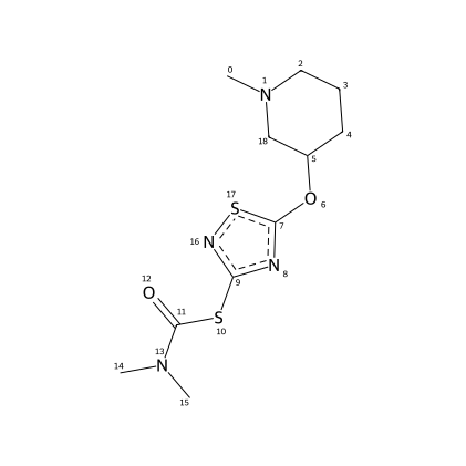 CN1CCCC(Oc2nc(SC(=O)N(C)C)ns2)C1